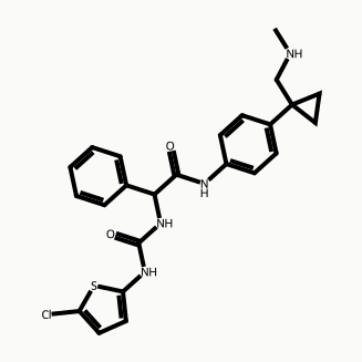 CNCC1(c2ccc(NC(=O)C(NC(=O)Nc3ccc(Cl)s3)c3ccccc3)cc2)CC1